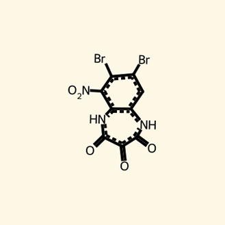 O=c1[nH]c2cc(Br)c(Br)c([N+](=O)[O-])c2[nH]c(=O)c1=O